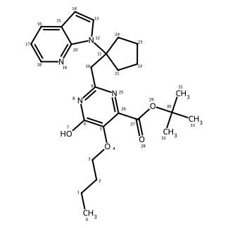 CCCCOc1c(O)nc(CC2(n3ccc4cccnc43)CCCC2)nc1C(=O)OC(C)(C)C